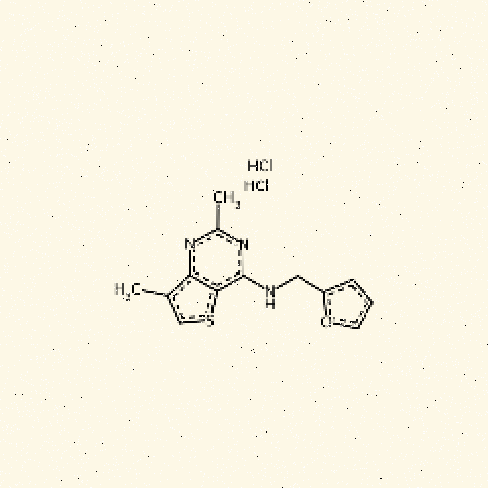 Cc1nc(NCc2ccco2)c2scc(C)c2n1.Cl.Cl